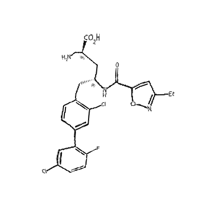 CCc1cc(C(=O)N[C@H](Cc2ccc(-c3cc(Cl)ccc3F)cc2Cl)C[C@@H](N)C(=O)O)on1